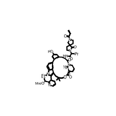 C=CC(=O)N1CCC2(CCN(C(C(=O)N[C@H]3Cc4cc(O)cc(c4)-c4ccc5c(c4)c(c(-c4cccnc4[C@H](C)OC)n5CC)CC(C)(C)COC(=O)[C@@H]4CCCN(N4)C3=O)C(C)C)C2=O)C1